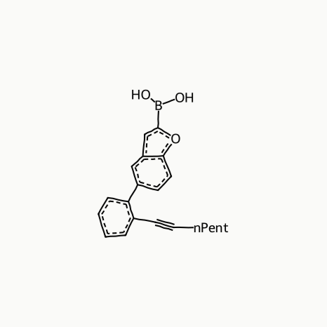 CCCCCC#Cc1ccccc1-c1ccc2oc(B(O)O)cc2c1